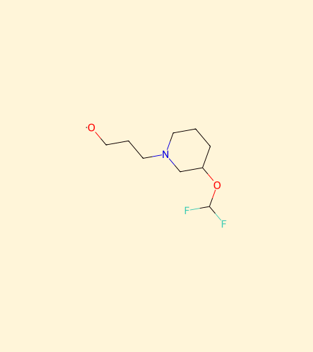 [O]CCCN1CCCC(OC(F)F)C1